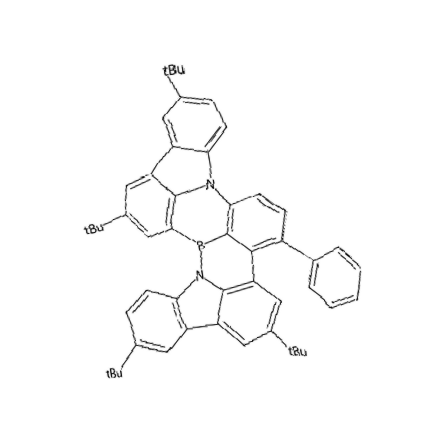 CC(C)(C)c1ccc2c(c1)c1cc(C(C)(C)C)cc3c1n2B1c2c(ccc(-c4ccccc4)c2-3)-n2c3ccc(C(C)(C)C)cc3c3cc(C(C)(C)C)cc1c32